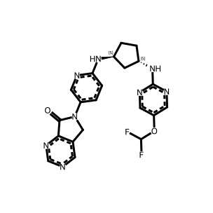 O=C1c2ncncc2CN1c1ccc(N[C@H]2CC[C@H](Nc3ncc(OC(F)F)cn3)C2)nc1